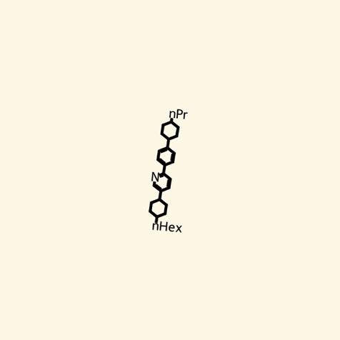 CCCCCCC1CCC(c2ccc(-c3ccc(C4CCC(CCC)CC4)cc3)nc2)CC1